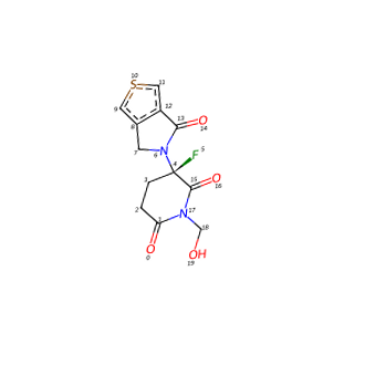 O=C1CC[C@](F)(N2Cc3cscc3C2=O)C(=O)N1CO